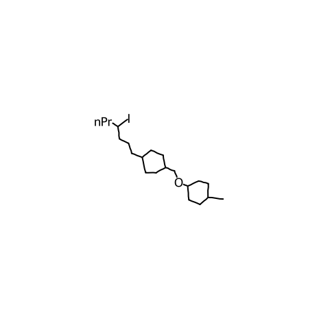 CCCC(I)CCCC1CCC(COC2CCC(C)CC2)CC1